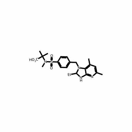 CCC1Nc2nc(C)cc(C)c2N1Cc1ccc(S(=O)(=O)N(C)C(C)(C)C(=O)O)cc1